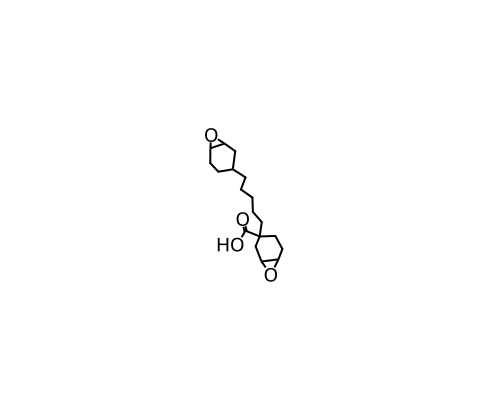 O=C(O)C1(CCCCCC2CCC3OC3C2)CCC2OC2C1